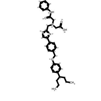 CCCC(CCC)c1ccc(OCc2ccc(-c3csc(CN(CC(=O)O)CC(=O)Nc4ccccc4)n3)cc2)cc1